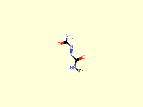 CC(C)NC(=O)N=NC(N)=O